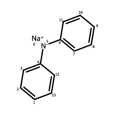 [Na+].c1ccc([N-]c2ccccc2)cc1